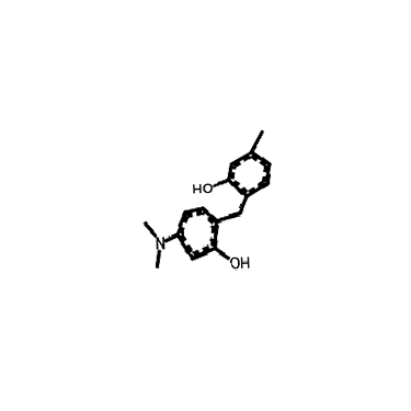 Cc1ccc(Cc2ccc(N(C)C)cc2O)c(O)c1